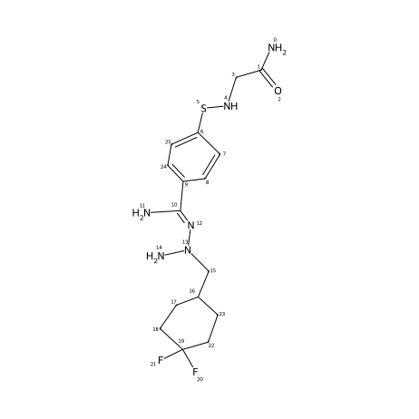 NC(=O)CNSc1ccc(/C(N)=N/N(N)CC2CCC(F)(F)CC2)cc1